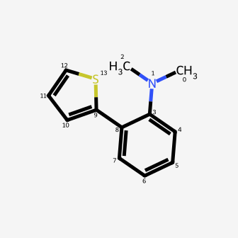 CN(C)c1ccccc1-c1cccs1